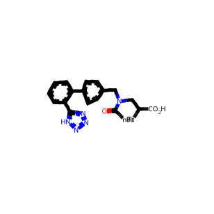 CCCCC(=O)N(Cc1ccc(-c2ccccc2-c2nnn[nH]2)cc1)CC(C(=O)O)C(C)C